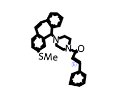 CSc1ccc2c(c1)C(N1CCN(C(=O)/C=C/c3ccccc3)CC1)c1ccccc1C=C2